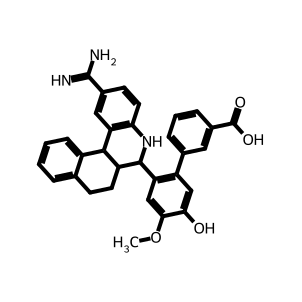 COc1cc(C2Nc3ccc(C(=N)N)cc3C3c4ccccc4CCC23)c(-c2cccc(C(=O)O)c2)cc1O